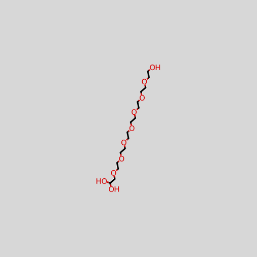 OCCOCCOCCOCCOCCOCCOCCOCC(O)O